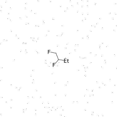 [CH2]CC(F)CF